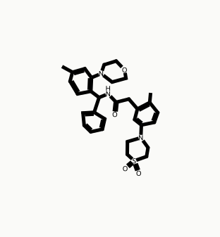 Cc1ccc(C(NC(=O)Cc2cc(N3CCS(=O)(=O)CC3)ccc2C)c2ccccc2)c(N2CCOCC2)c1